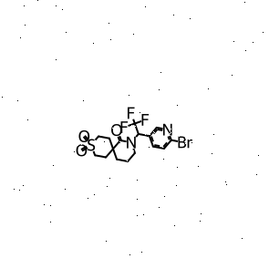 O=C1N(C(c2ccc(Br)nc2)C(F)(F)F)CCCC12CCS(=O)(=O)CC2